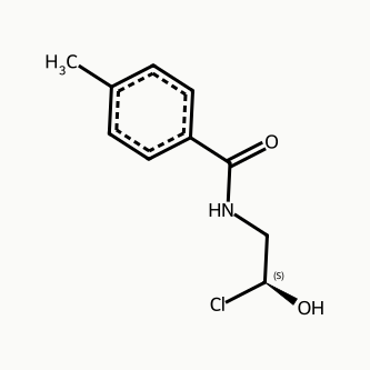 Cc1ccc(C(=O)NC[C@@H](O)Cl)cc1